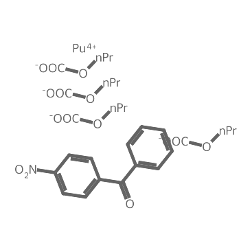 CCCOC(=O)[O-].CCCOC(=O)[O-].CCCOC(=O)[O-].CCCOC(=O)[O-].O=C(c1ccccc1)c1ccc([N+](=O)[O-])cc1.[Pu+4]